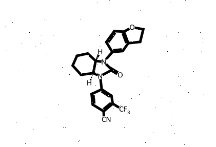 N#Cc1ccc(N2C(=O)N(c3ccc4c(c3)CCO4)[C@H]3CCCC[C@@H]32)cc1C(F)(F)F